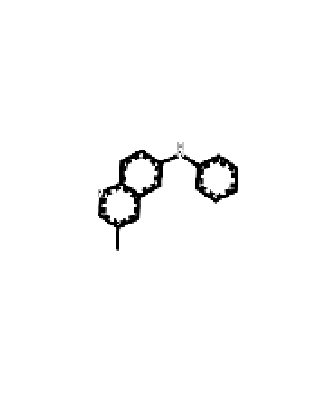 Cc1cnc2ccc(Nc3ccccc3)cc2c1